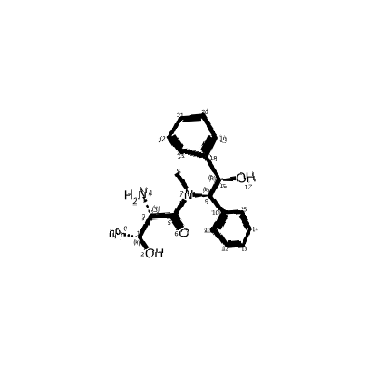 CCC[C@@H](O)[C@H](N)C(=O)N(C)[C@H](c1ccccc1)[C@H](O)c1ccccc1